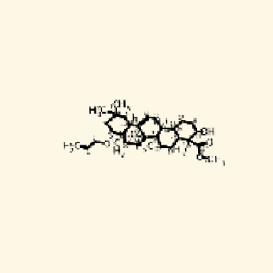 C=CCO[C@@H]1CC(C)(C)C[C@H]2C3=CCC4[C@@]5(C)CC[C@H](O)[C@](C)(C(=O)OC)C5CC[C@@]4(C)[C@]3(C)CC[C@@]12C